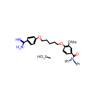 COc1cc(C(=O)N(C(C)C)C(C)C)ccc1OCCCCCOc1ccc(C(=N)N)cc1.CS(=O)(=O)O